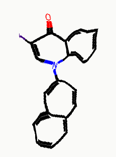 O=c1c(I)cn(-c2ccc3ccccc3c2)c2ccccc12